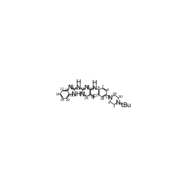 CC(C)(C)N1CCN(c2ccc(Nc3nc(Nc4nc5ccccc5[nH]4)ncc3F)cc2)CC1